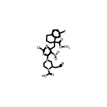 COC(=O)C1(Cc2nc(Cl)nc(N3CCN(C(=O)O)C(CC#N)C3)c2[N+](=O)[O-])CCCc2ccc(F)cc21